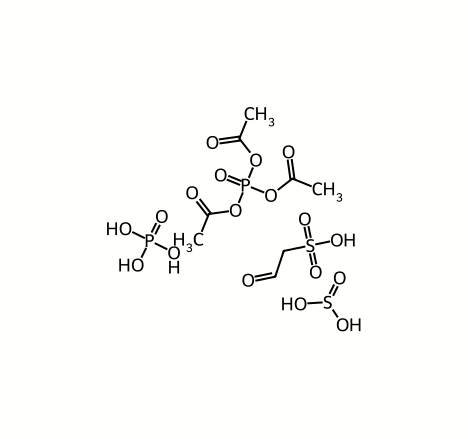 CC(=O)OP(=O)(OC(C)=O)OC(C)=O.O=CCS(=O)(=O)O.O=P(O)(O)O.O=S(O)O